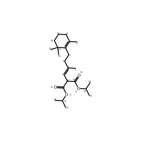 CC1=C(CC/C(C)=C/C(C(=O)OC(C)C)C(=O)OC(C)C)C(C)(C)CCC1